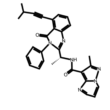 Cc1nn2cccnc2c1C(=O)N[C@H](C)c1nc2cccc(C#CC(C)C)c2c(=O)n1-c1ccccc1